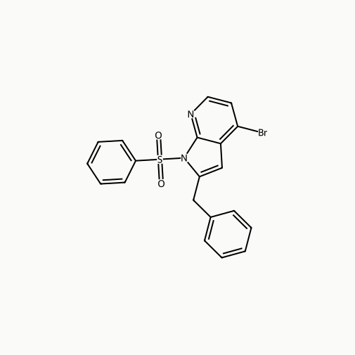 O=S(=O)(c1ccccc1)n1c(Cc2ccccc2)cc2c(Br)ccnc21